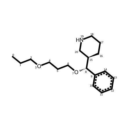 CCCOCCCO[C@@H](c1ccccc1)[C@@H]1CCCNC1